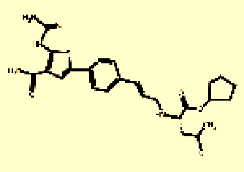 CC(C)C[C@H](NCC=Cc1ccc(-c2cc(C(N)=O)c(NC(N)=O)s2)cc1)C(=O)OC1CCCC1